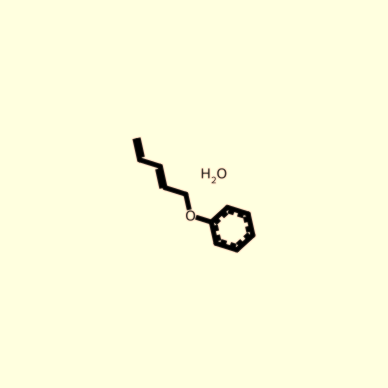 C=CC=CCOc1ccccc1.O